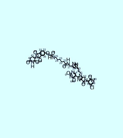 COc1ncc(-c2nc3c(n2CCCn2cc(CNC(=O)CCCCCNC(=O)COc4ccc5c(c4)C(=O)N(C4CCC(=O)NC4=O)C5=O)nn2)CN(c2cc(Cl)cn(C)c2=O)C3=O)c(OC)n1